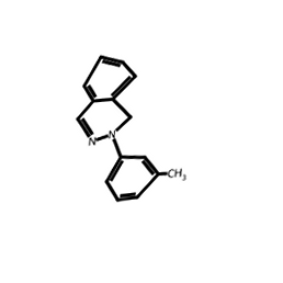 Cc1cccc(N2Cc3ccccc3C=N2)c1